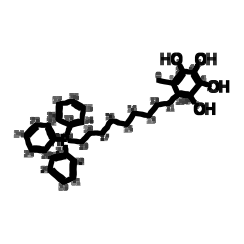 Cc1c(O)c(O)c(O)c(O)c1CCCCCCCCC[PH](c1ccccc1)(c1ccccc1)c1ccccc1